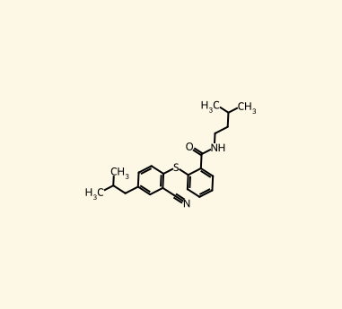 CC(C)CCNC(=O)c1ccccc1Sc1ccc(CC(C)C)cc1C#N